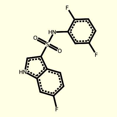 O=S(=O)(Nc1cc(F)ccc1F)c1c[nH]c2cc(F)ccc12